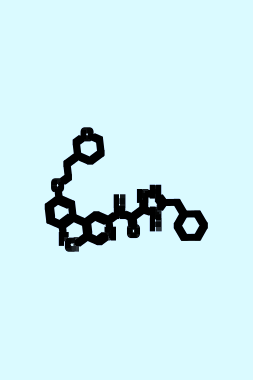 O=C(Nc1cc(-c2cc(OCCC3CCCOC3)ccc2F)c(Cl)cn1)c1nnc(CC2CCCCC2)[nH]1